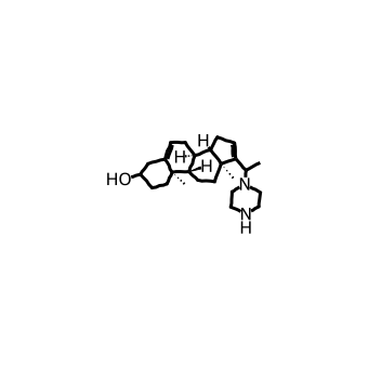 CC(C1=CC[C@H]2[C@@H]3CC=C4CC(O)CC[C@]4(C)[C@H]3CC[C@]12C)N1CCNCC1